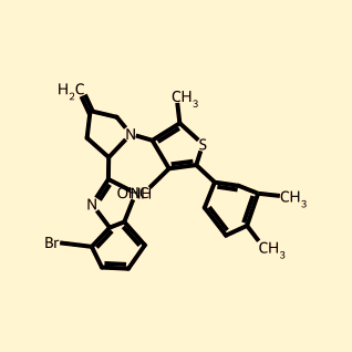 C=C1CC(c2nc3c(Br)cccc3[nH]2)N(c2c(C)sc(-c3ccc(C)c(C)c3)c2C=O)C1